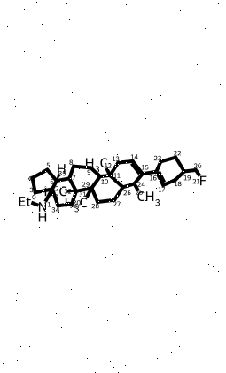 CCNC12CCC[C@@H]1C1CCC3C4(C)CC=C(C5=CCC(CF)CC5)C(C)C4CCC3(C)[C@]1(C)CC2